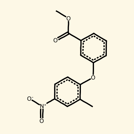 COC(=O)c1cccc(Oc2ccc([N+](=O)[O-])cc2C)c1